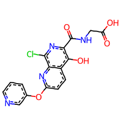 O=C(O)CNC(=O)c1nc(Cl)c2nc(Oc3cccnc3)ccc2c1O